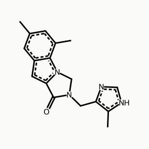 Cc1cc(C)c2c(c1)cc1n2CN(Cc2nc[nH]c2C)C1=O